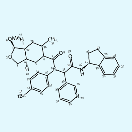 CO[C@@H]1OC[C@@H]2CC(C(=O)N(c3ccc(C(C)(C)C)cc3)C(C(=O)N[C@H]3CCc4ccccc43)c3cccnc3)C(C)C[C@@H]21